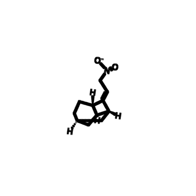 O=[N+]([O-])C/C=C1\[C@H]2CC[C@@H]3C[C@H]2[C@H]1C3